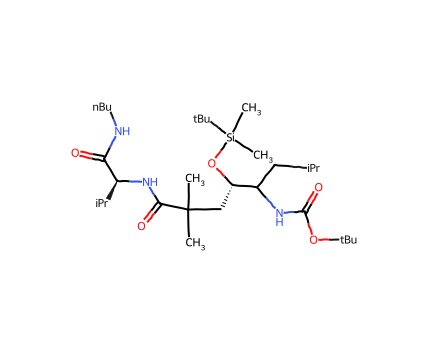 CCCCNC(=O)[C@@H](NC(=O)C(C)(C)C[C@H](O[Si](C)(C)C(C)(C)C)C(CC(C)C)NC(=O)OC(C)(C)C)C(C)C